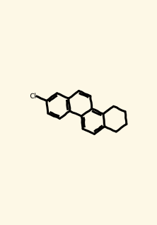 Clc1ccc2c(ccc3c4c(ccc32)CCCC4)c1